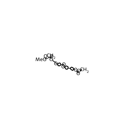 C=COC(=O)COc1ccc(-c2ccc(OC(=O)c3ccc(OCCCOC(=O)C(=C)CC(=O)OC)cc3)cc2)cc1